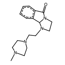 CN1CCN(CCN2CCN3C(=O)c4ccccc4C23)CC1